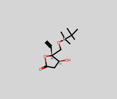 C#C[C@]1(CO[Si](C)(C)C(C)(C)C)OC(=O)C[C@@H]1O